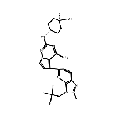 Cc1nc2ccc(-c3ccn4nc(N[C@H]5CC[C@](C)(O)CC5)nc(N)c34)nc2n1CC(F)(F)F